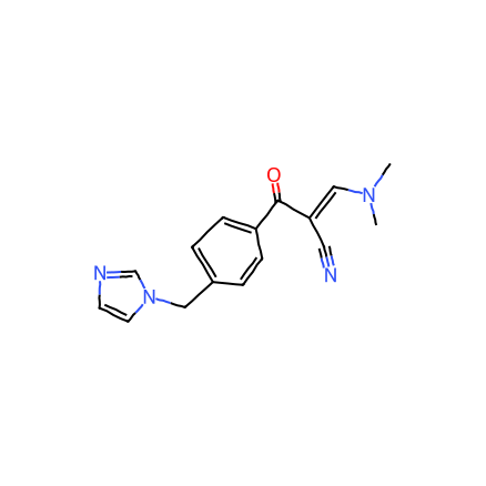 CN(C)C=C(C#N)C(=O)c1ccc(Cn2ccnc2)cc1